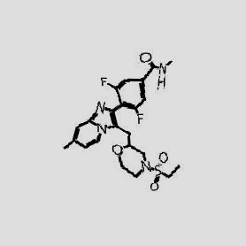 CCS(=O)(=O)N1CCOC(Cc2c(-c3c(F)cc(C(=O)NC)cc3F)nc3cc(C)ccn23)C1